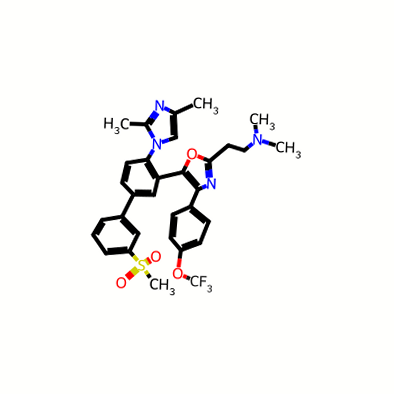 Cc1cn(-c2ccc(-c3cccc(S(C)(=O)=O)c3)cc2-c2oc(CCN(C)C)nc2-c2ccc(OC(F)(F)F)cc2)c(C)n1